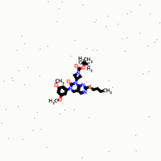 CCCCSc1ncc2c(n1)N(C1CN(C(=O)OC(C)(C)C)C1)C(=O)N(c1cc(OC)cc(OC)c1)C2